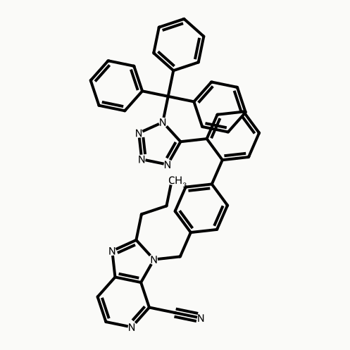 CCCc1nc2ccnc(C#N)c2n1Cc1ccc(-c2ccccc2-c2nnnn2C(c2ccccc2)(c2ccccc2)c2ccccc2)cc1